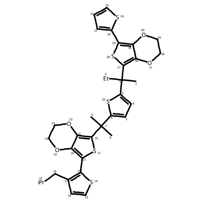 CCC(C)(c1ccc(C(C)(C)c2sc(-c3sccc3CC(C)C)c3c2OCCO3)s1)c1sc(-c2cccs2)c2c1OCCO2